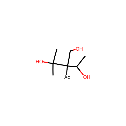 CC(=O)C(CO)(C(C)O)C(C)(C)O